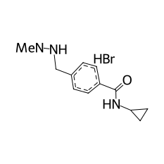 Br.CNNCc1ccc(C(=O)NC2CC2)cc1